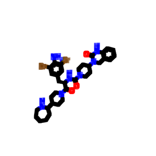 Nc1c(Br)cc(C[C@@H](NC(=O)N2CCC(N3Cc4ccccc4NC3=O)CC2)C(=O)N2CCC(C3CCCCCN3)CC2)cc1Br